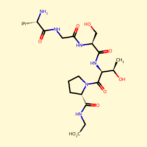 CC(C)[C@H](N)C(=O)NCC(=O)N[C@@H](CO)C(=O)N[C@H](C(=O)N1CCC[C@H]1C(=O)NCC(=O)O)[C@@H](C)O